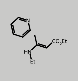 CCNC(C)=CC(=O)OCC.c1ccncc1